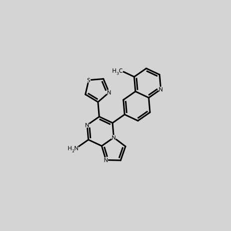 Cc1ccnc2ccc(-c3c(-c4cscn4)nc(N)c4nccn34)cc12